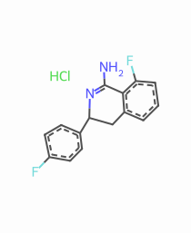 Cl.NC1=NC(c2ccc(F)cc2)Cc2cccc(F)c21